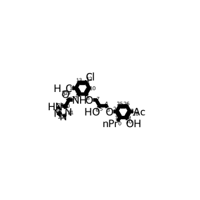 CCCc1c(OCC(O)COc2cc(Cl)cc(C)c2NC(=O)c2nnn[nH]2)ccc(C(C)=O)c1O